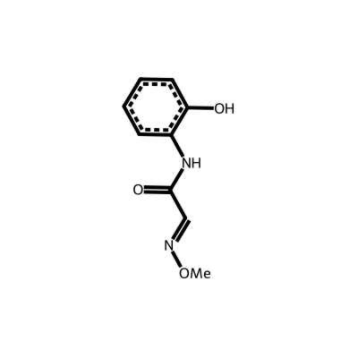 CON=CC(=O)Nc1ccccc1O